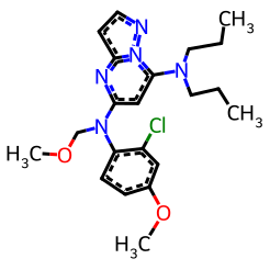 CCCN(CCC)c1cc(N(COC)c2ccc(OC)cc2Cl)nc2ccnn12